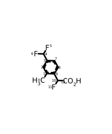 Cc1cc(C(F)F)ccc1C(F)C(=O)O